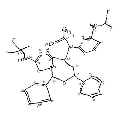 CC(C)Nc1cccc(N(C(N)=O)C2CC(c3ccccc3)CC(c3ccccc3)N(CC(=O)NC(C)(C)C)C2=O)c1